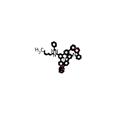 C=C/C=C\C=C\c1nc(-c2ccccc2)nc(-c2cc(-c3ccc(-c4ccccc4)cc3)c(-n3c4ccc(-n5c6ccccc6c6ccccc65)cc4c4ccc(-c5ccccc5)cc43)c(-c3ccc(-c4ccccc4)cc3)c2)n1